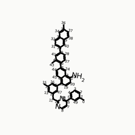 Cc1cccc(-c2ccnc(Cc3cc(C)cc(-c4ccc(N)c5cc(-c6ccc(-c7ccc8cc(C)ccc8c7)cc6C)ccc45)c3)n2)c1